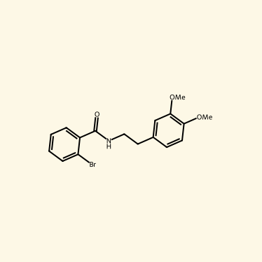 COc1ccc(CCNC(=O)c2ccccc2Br)cc1OC